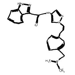 CN(C)Cc1cccc(Cn2cc(NC(=O)c3n[nH]c4ccccc34)cn2)c1